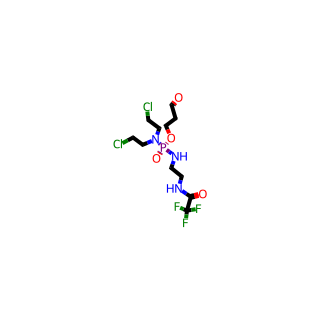 O=CCCOP(=O)(NCCNC(=O)C(F)(F)F)N(CCCl)CCCl